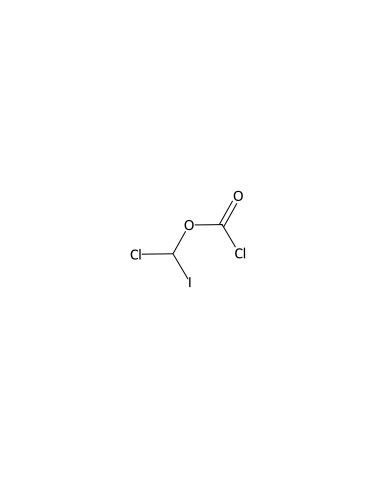 O=C(Cl)OC(Cl)I